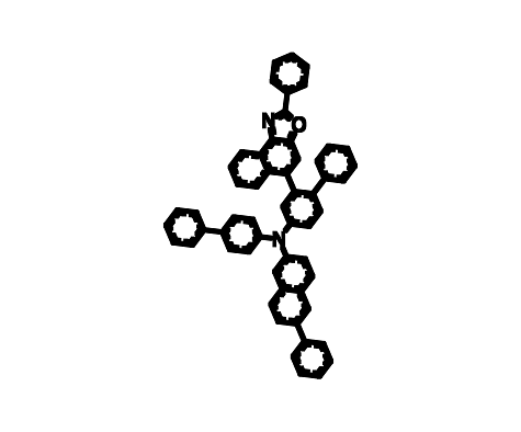 c1ccc(-c2ccc(N(c3ccc(-c4ccccc4)c(-c4cc5oc(-c6ccccc6)nc5c5ccccc45)c3)c3ccc4cc(-c5ccccc5)ccc4c3)cc2)cc1